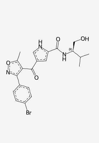 Cc1onc(-c2ccc(Br)cc2)c1C(=O)c1c[nH]c(C(=O)N[C@@H](CO)C(C)C)c1